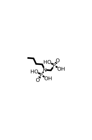 CCCCN(CP(=O)(O)O)P(=O)(O)O